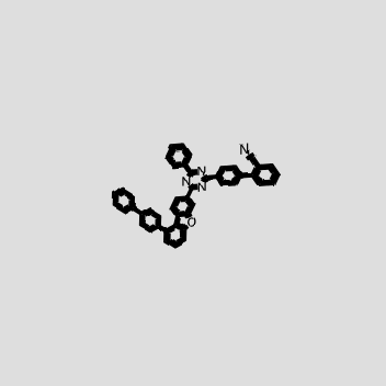 N#Cc1ccccc1-c1ccc(-c2nc(-c3ccccc3)nc(-c3ccc4c(c3)oc3cccc(-c5ccc(-c6ccccc6)cc5)c34)n2)cc1